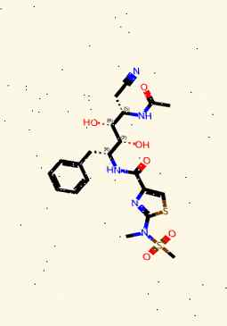 CC(=O)N[C@@H](CC#N)[C@@H](O)[C@H](O)[C@@H](Cc1ccccc1)NC(=O)c1csc(N(C)S(C)(=O)=O)n1